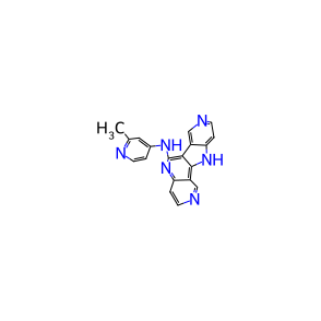 Cc1cc(Nc2nc3ccncc3c3[nH]c4ccncc4c23)ccn1